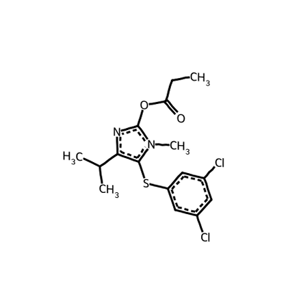 CCC(=O)Oc1nc(C(C)C)c(Sc2cc(Cl)cc(Cl)c2)n1C